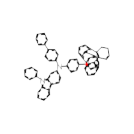 C1=CC2=C(CC1)c1cccc3c1-c1cc(-c4ccc(N(c5ccc(-c6ccccc6)cc5)c5ccc6c7ccccc7n(-c7ccccc7)c6c5)cc4)ccc1-c1cccc-3c12